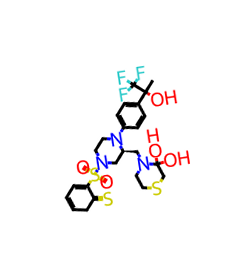 CC(O)(c1ccc(N2CCN(S(=O)(=O)C3=CC=CCC3=S)C[C@@H]2CN2CCSCC2(O)O)cc1)C(F)(F)F